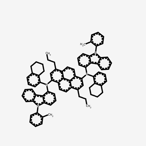 CCCc1cc(N(c2cccc3c2CCCC3)c2cccc3c2c2ccccc2n3-c2ccccc2C)c2ccc3c(CCC)cc(N(c4cccc5c4CCCC5)c4cccc5c4c4ccccc4n5-c4ccccc4C)c4ccc1c2c34